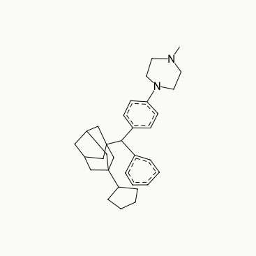 CN1CCN(c2ccc(C(c3ccccc3)C34CC5CC(CC(C6CCCC6)(C5)C3)C4)cc2)CC1